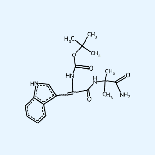 CC(C)(C)OC(=O)N/C(=C\c1c[nH]c2ccccc12)C(=O)NC(C)(C)C(N)=O